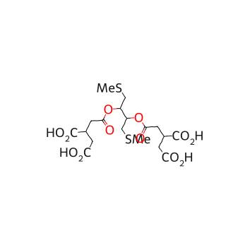 CSCC(OC(=O)CC(CC(=O)O)C(=O)O)C(CSC)OC(=O)CC(CC(=O)O)C(=O)O